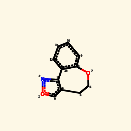 [c]1onc2c1CCOc1ccccc1-2